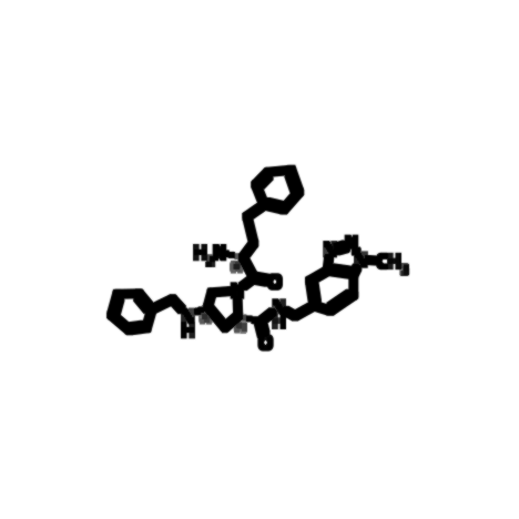 Cn1nnc2cc(CNC(=O)[C@@H]3C[C@H](NCc4ccccc4)CN3C(=O)[C@H](N)CCc3ccccc3)ccc21